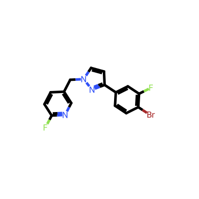 Fc1ccc(Cn2ccc(-c3ccc(Br)c(F)c3)n2)cn1